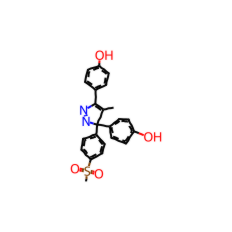 CC1=C(c2ccc(O)cc2)N=NC1(c1ccc(O)cc1)c1ccc(S(C)(=O)=O)cc1